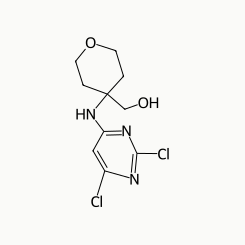 OCC1(Nc2cc(Cl)nc(Cl)n2)CCOCC1